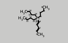 CC=CC=C[PH](CCCC)(CCCC)CCCC